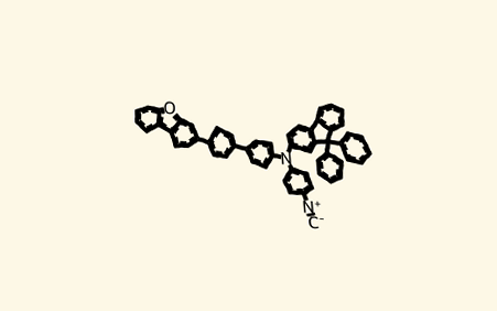 [C-]#[N+]c1ccc(N(c2ccc(-c3ccc(-c4ccc5c(c4)oc4ccccc45)cc3)cc2)c2ccc3c(c2)C(c2ccccc2)(c2ccccc2)c2ccccc2-3)cc1